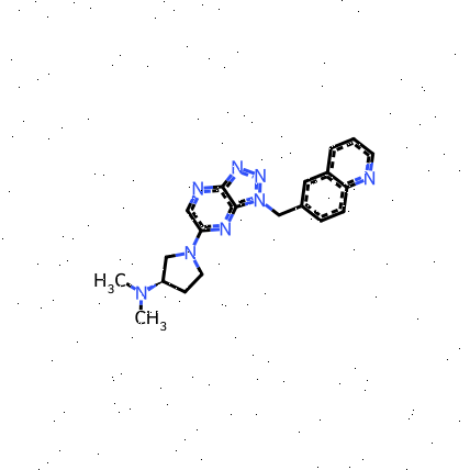 CN(C)[C@@H]1CCN(c2cnc3nnn(Cc4ccc5ncccc5c4)c3n2)C1